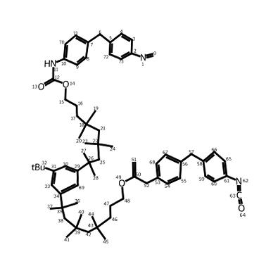 C=Nc1ccc(Cc2ccc(NC(=O)OCCCC(C)(C)CC(C)(C)CC(C)(C)c3cc(C(C)(C)C)cc(C(C)(C)CC(C)(C)CC(C)(C)CCCOC(=C)Cc4ccc(Cc5ccc(N=C=O)cc5)cc4)c3)cc2)cc1